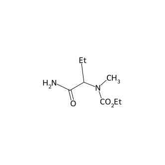 CCOC(=O)N(C)C(CC)C(N)=O